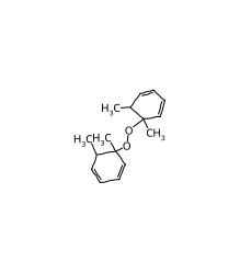 CC1C=CC=CC1(C)OOC1(C)C=CC=CC1C